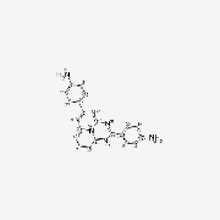 Nc1ccc(C2=NC3=CC=CC4=NC(c5ccc(N)cc5)=NC(=N2)N34)cc1